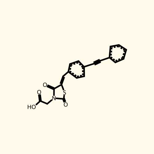 O=C(O)CN1C(=O)S/C(=C\c2ccc(C#Cc3ccccc3)cc2)C1=O